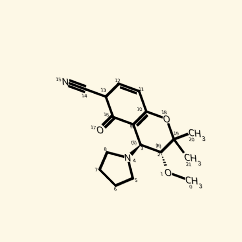 CO[C@@H]1[C@@H](N2CCCC2)C2=C(C=CC(C#N)C2=O)OC1(C)C